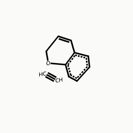 C#C.C1=Cc2ccccc2OC1